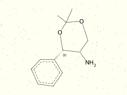 CC1(C)OCC(N)[C@H](c2ccccc2)O1